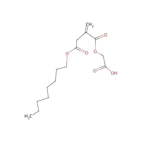 C=C(CC(=O)OCCCCCCCC)C(=O)OCC(=O)O